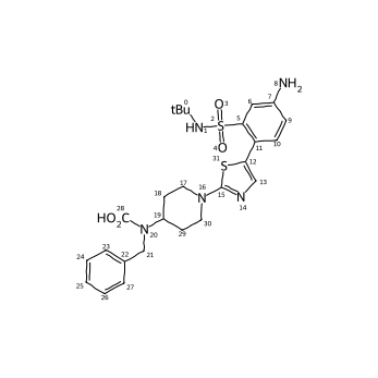 CC(C)(C)NS(=O)(=O)c1cc(N)ccc1-c1cnc(N2CCC(N(Cc3ccccc3)C(=O)O)CC2)s1